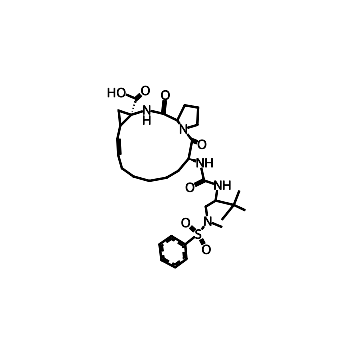 CN(CC(NC(=O)N[C@H]1CCCCC/C=C\C2C[C@@]2(C(=O)O)NC(=O)C2CCCN2C1=O)C(C)(C)C)S(=O)(=O)c1ccccc1